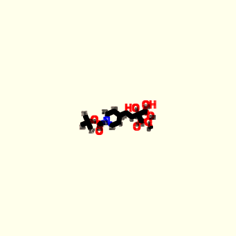 COC(=O)[C@](O)(CCC1CCN(C(=O)OC(C)(C)C)CC1)C(=O)O